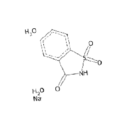 O.O.O=C1NS(=O)(=O)c2ccccc21.[Na]